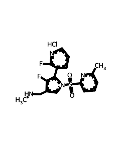 CNCc1cn(S(=O)(=O)c2cccc(C)n2)c(-c2cccnc2F)c1F.Cl